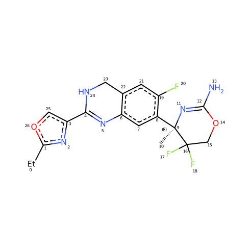 CCc1nc(C2=Nc3cc([C@@]4(C)N=C(N)OCC4(F)F)c(F)cc3CN2)co1